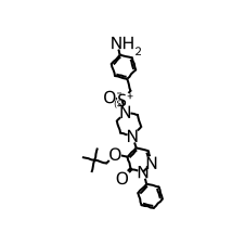 CC(C)(C)COc1c(N2CCN([S@+]([O-])Cc3ccc(N)cc3)CC2)cnn(-c2ccccc2)c1=O